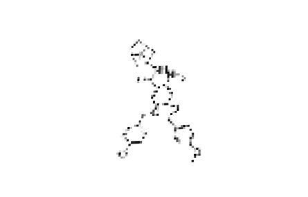 COc1ccc(COc2cc(N)c(C(=O)NC3CC4CCC(C3)N4C)cc2OCc2ccc(OC)cc2)cc1